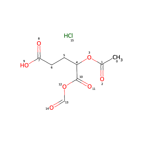 CC(=O)OC(CCC(=O)O)C(=O)OC=O.Cl